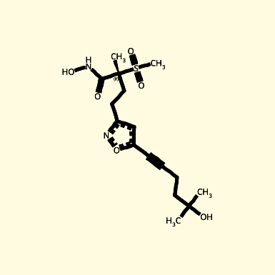 CC(C)(O)CCC#Cc1cc(CC[C@](C)(C(=O)NO)S(C)(=O)=O)no1